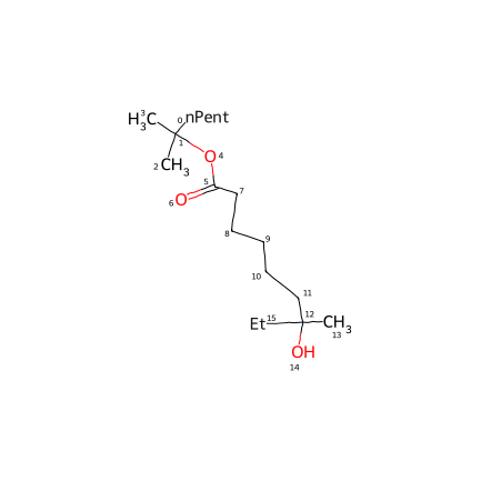 CCCCCC(C)(C)OC(=O)CCCCCC(C)(O)CC